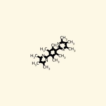 Cc1nc(-c2c(C)c(C)c(-c3nc(C)c(C)c(C)n3)c(C)c2C)nc(C)c1C